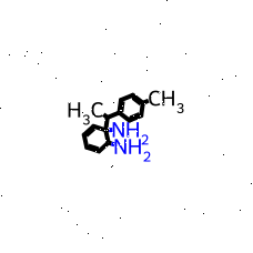 Cc1ccc(C(C)C2(N)C=CC=CC2N)cc1